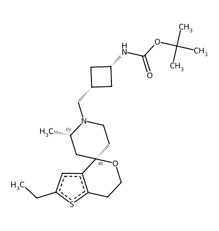 CCc1cc2c(s1)CCO[C@@]21CCN(C[C@H]2C[C@@H](NC(=O)OC(C)(C)C)C2)[C@@H](C)C1